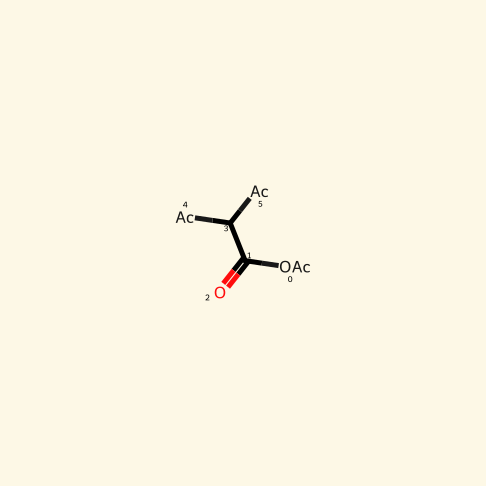 CC(=O)OC(=O)C(C(C)=O)C(C)=O